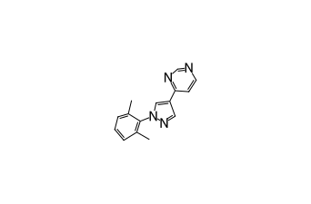 Cc1cccc(C)c1-n1cc(-c2ccncn2)cn1